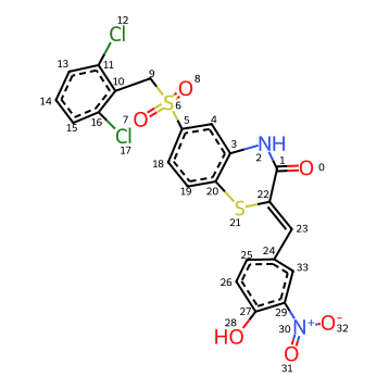 O=C1Nc2cc(S(=O)(=O)Cc3c(Cl)cccc3Cl)ccc2S/C1=C\c1ccc(O)c([N+](=O)[O-])c1